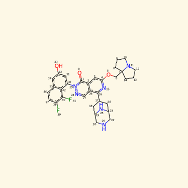 O=c1c2cc(OCC34CCCN3CCC4)nc(C3CC4CNCC(C3)N4)c2cnn1-c1cc(O)cc2ccc(F)c(F)c12